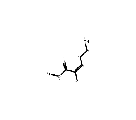 CC(=CCCO)C(=O)OF